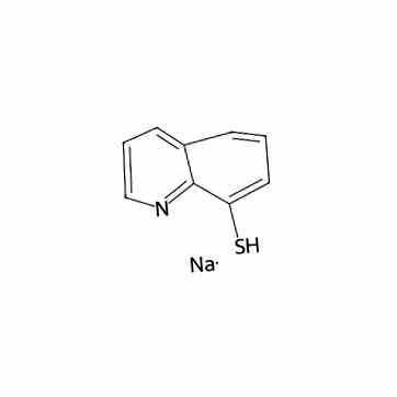 Sc1cccc2cccnc12.[Na]